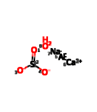 O.O=[Si]([O-])[O-].[Al].[Ca+2].[Na]